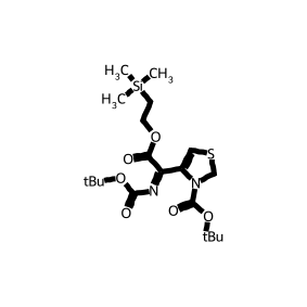 CC(C)(C)OC(=O)N=C(C(=O)OCC[Si](C)(C)C)C1=CSCN1C(=O)OC(C)(C)C